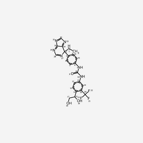 CNC1(c2ccc(NC(=O)Nc3ccc(C(O)CO)c(C(F)(F)F)c3)cc2)N=CN=C2N=CN=C21